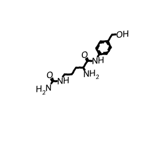 NC(=O)NCCCC(N)C(=O)Nc1ccc(CO)cc1